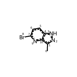 Cc1n[nH]c2ccc(Br)nc12